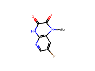 CCCCn1c(=O)c(=O)[nH]c2ncc(Br)cc21